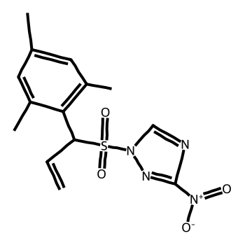 C=CC(c1c(C)cc(C)cc1C)S(=O)(=O)n1cnc([N+](=O)[O-])n1